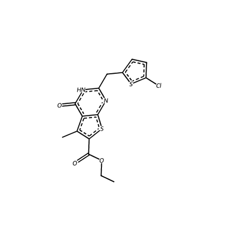 CCOC(=O)c1sc2nc(Cc3ccc(Cl)s3)[nH]c(=O)c2c1C